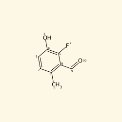 Cc1ccc(O)c(F)c1C=O